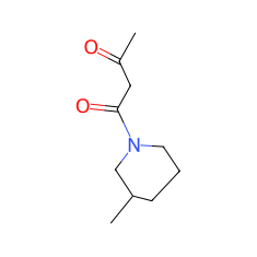 CC(=O)CC(=O)N1CCCC(C)C1